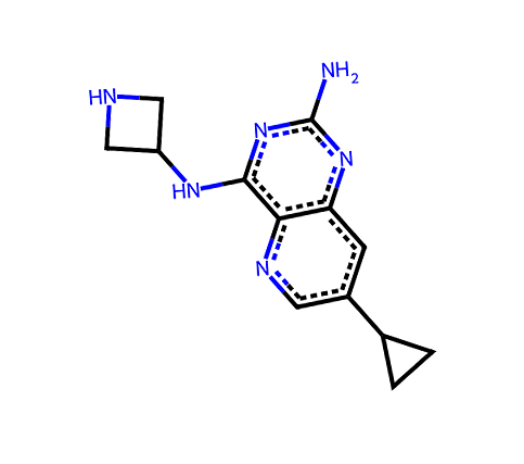 Nc1nc(NC2CNC2)c2ncc(C3CC3)cc2n1